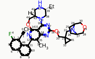 C#Cc1c(F)ccc2cccc(-c3nc4c5c(nc(OCC6(CN7C8CCC7COC8)CC6)nc5c3C)N3C[C@@H](CC)NC[C@H]3CO4)c12